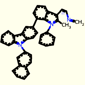 C=N/C=C\c1c(C)n(-c2ccccc2)c2c(-c3ccc4c(c3)c3ccccc3n4-c3ccc4ccccc4c3)cccc12